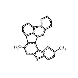 Cc1ccc2sc3cc(C)c4c(c3c2c1)-c1cc2ccccc2c2cccc-4c12